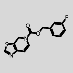 O=C(OCc1cccc(F)c1)N1C=Cc2ncsc2C1